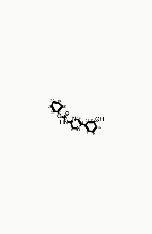 O=C(Nc1cnc(-c2cccc(O)c2)cn1)Oc1ccccc1